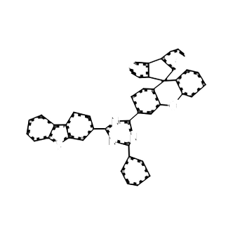 c1ccc(-c2nc(-c3ccc4c(c3)Oc3ccccc3C43c4ccccc4-c4ccccc43)nc(-c3ccc4c(c3)sc3ccccc34)n2)cc1